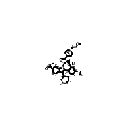 COCCN1CC2CCC1CN2C(=O)[C@]12C[C@H]1c1cc(OC)ccc1-c1c(C3CCCCC3)c3ccc(C(=O)O)cc3n1C2